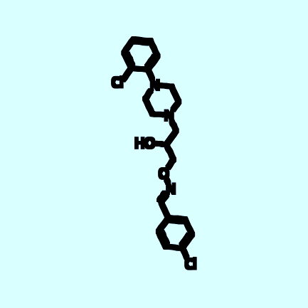 OC(CON=Cc1ccc(Cl)cc1)CN1CCN(c2ccccc2Cl)CC1